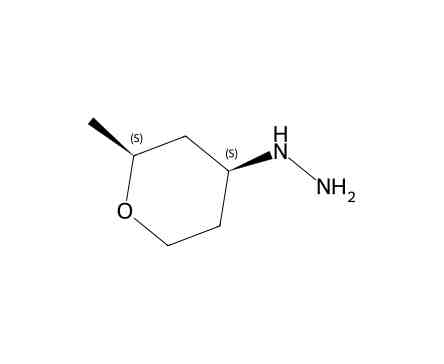 C[C@H]1C[C@@H](NN)CCO1